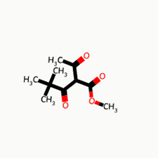 COC(=O)C(C(C)=O)C(=O)C(C)(C)C